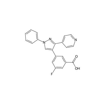 O=C(O)c1cc(F)cc(-c2cn(-c3ccccc3)nc2-c2ccncc2)c1